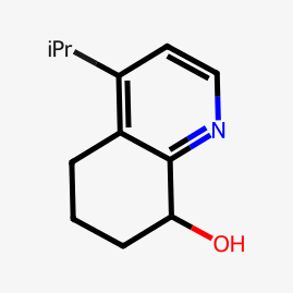 CC(C)c1ccnc2c1CCCC2O